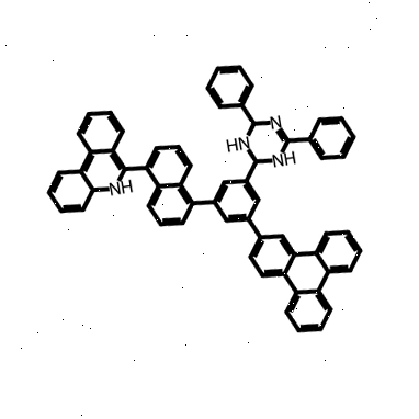 C1=CC2=c3ccccc3=C(c3cccc4c(-c5cc(-c6ccc7c8ccccc8c8ccccc8c7c6)cc(C6NC(c7ccccc7)=NC(c7ccccc7)N6)c5)cccc34)NC2C=C1